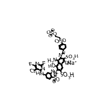 Nc1c(N=Nc2ccc(S(=O)(=O)CCOS(=O)(=O)[O-])cc2)c(S(=O)(=O)O)cc2cc(S(=O)(=O)O)c(N=Nc3cc(Nc4nc(F)nc(F)c4Cl)ccc3S(=O)(=O)[O-])c(O)c12.[Li+].[Na+]